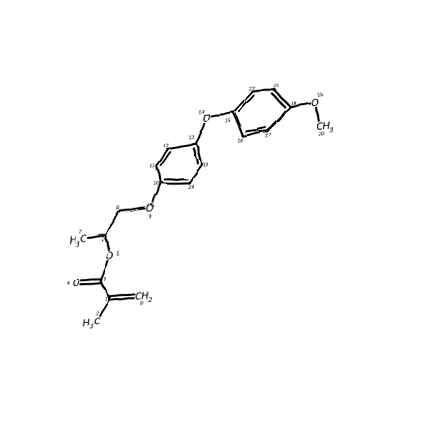 C=C(C)C(=O)OC(C)COc1ccc(Oc2ccc(OC)cc2)cc1